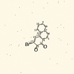 O=C1C(=O)c2ccc3ccccc3c2C=C1Br